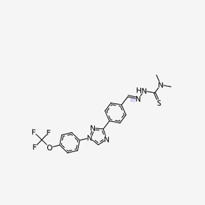 CN(C)C(=S)N/N=C/c1ccc(-c2ncn(-c3ccc(OC(F)(F)F)cc3)n2)cc1